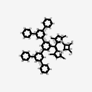 CC1=CC(C)=[N+]2C1=C(c1cc(-c3cc(-c4ccccc4)cc(-c4ccccc4)c3)cc(-c3cc(-c4ccccc4)cc(-c4ccccc4)c3)c1)c1c(C)cc(C)n1C1C(F)C(I)C12